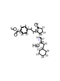 COC(=O)c1ccc(CCN2C(=O)CC[C@@H]2/C=C/[C@@H](O)CC2CCCCC2)cc1